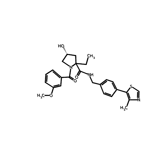 CCC1(C(=O)NCc2ccc(-c3scnc3C)cc2)C[C@@H](O)CN1C(=O)c1cccc(OC)c1